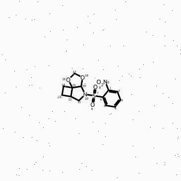 O=[N+]([O-])c1ccccc1S(=O)(=O)N1CC2CCC23OCOC13